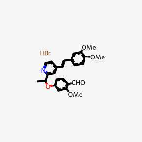 Br.COc1cc(OC(C)c2cc(C=Cc3ccc(OC)c(OC)c3)ccn2)ccc1C=O